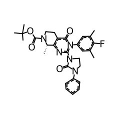 Cc1cc(-n2c(N3CCN(c4ccccc4)C3=O)nc3c(c2=O)CCN(C(=O)OC(C)(C)C)[C@H]3C)cc(C)c1F